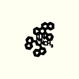 CN1C(c2cccc3ccccc23)C=C(c2cccc3ccccc23)NC1n1c2ccccc2c2c3c4ccccc4ccc3c3ccccc3c21